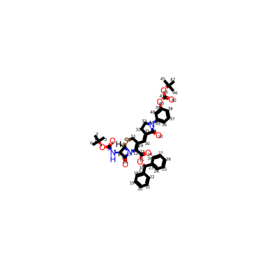 CC(C)(C)OC(=O)N[C@@H]1C(=O)N2C(C(=O)OC(c3ccccc3)c3ccccc3)=C(C=C3CCN(c4cccc(OC(=O)OC(C)(C)C)c4)C3=O)CS[C@H]12